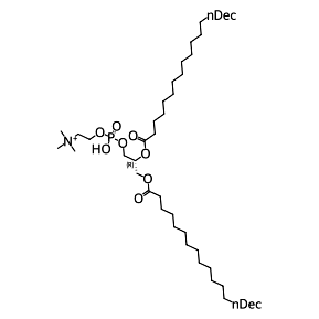 CCCCCCCCCCCCCCCCCCCCCCC(=O)OC[C@H](COP(=O)(O)OCC[N+](C)(C)C)OC(=O)CCCCCCCCCCCCCCCCCCCCCC